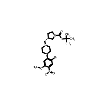 COc1cc(N2CCN(C[C@@H]3CCN(C(=O)OC(C)(C)C)C3)CC2)c(Br)cc1[N+](=O)[O-]